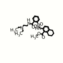 CCN(CC)CCNC(=O)c1ccccc1S(=O)(=O)Nc1ccc2c(c1C(=O)OC)CCCC2